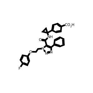 O=C(O)c1ccc(C2(NC(=O)c3c(-c4ccccc4)nnn3CCOc3ccc(F)cc3)CC2)cc1